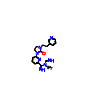 CC(C)N(C=N)C(=N)c1cccc(N2CCN(CCc3cccnc3)C2=O)n1